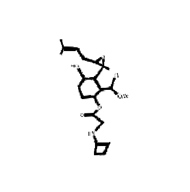 COC(Cl)C1C(OC(=O)CNC2CCC2)CCC(O)C1C1(C)OC1CC=C(C)C